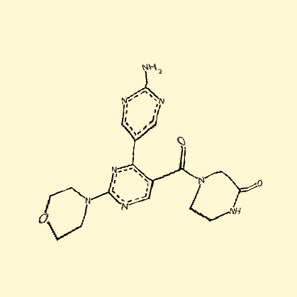 Nc1ncc(-c2nc(N3CCOCC3)ncc2C(=O)N2CCNC(=O)C2)cn1